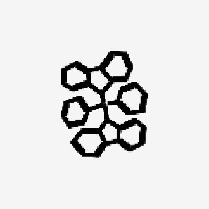 c1cc[c]([Zr]([c]2ccccc2)([CH]2c3ccccc3-c3ccccc32)[CH]2c3ccccc3-c3ccccc32)cc1